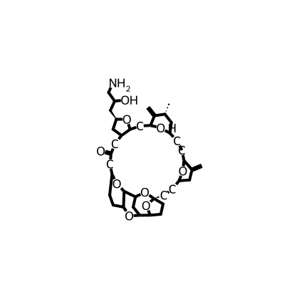 C=C1CC2CC[C@]34CCC(O3)C3CC(O4)C4OC(CCC4O3)CC(=O)CC3C[C@@H](CC(O)CN)OC3CC3O[C@@H](CCC1O2)C[C@@H](C)C3=C